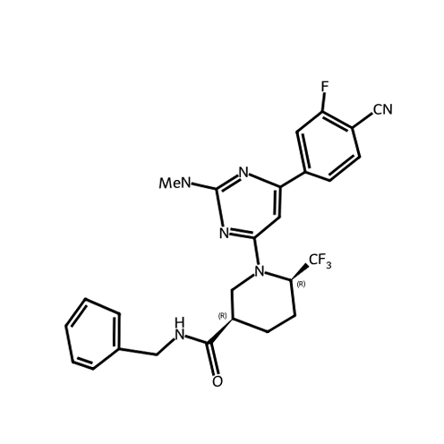 CNc1nc(-c2ccc(C#N)c(F)c2)cc(N2C[C@H](C(=O)NCc3ccccc3)CC[C@@H]2C(F)(F)F)n1